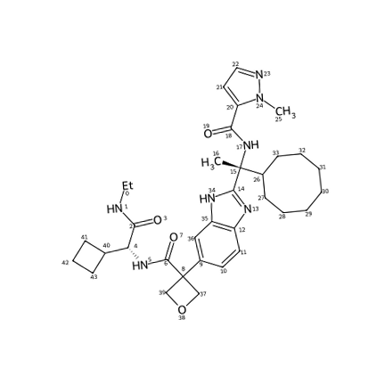 CCNC(=O)[C@H](NC(=O)C1(c2ccc3nc([C@](C)(NC(=O)c4ccnn4C)C4CCCCCCC4)[nH]c3c2)COC1)C1CCC1